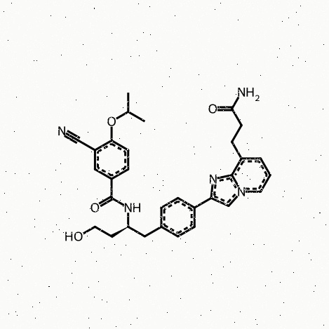 CC(C)Oc1ccc(C(=O)N[C@H](CCO)Cc2ccc(-c3cn4cccc(CCC(N)=O)c4n3)cc2)cc1C#N